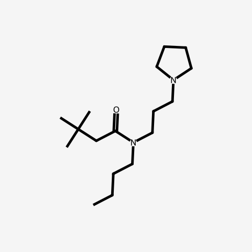 CCCCN(CCCN1CCCC1)C(=O)CC(C)(C)C